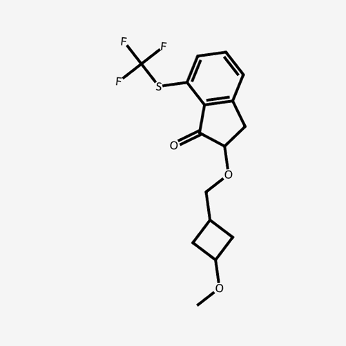 COC1CC(COC2Cc3cccc(SC(F)(F)F)c3C2=O)C1